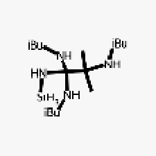 CCC(C)NC(C)(C)C(N[SiH3])(NC(C)CC)NC(C)CC